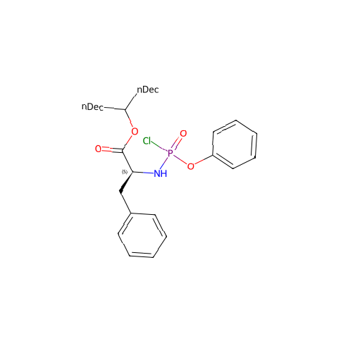 CCCCCCCCCCC(CCCCCCCCCC)OC(=O)[C@H](Cc1ccccc1)NP(=O)(Cl)Oc1ccccc1